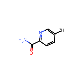 [2H]c1ccc(C(N)=O)nc1